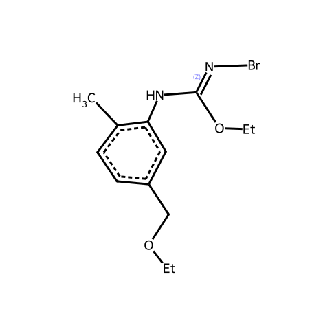 CCOCc1ccc(C)c(N/C(=N/Br)OCC)c1